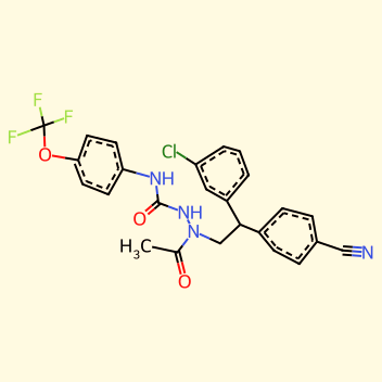 CC(=O)N(CC(c1ccc(C#N)cc1)c1cccc(Cl)c1)NC(=O)Nc1ccc(OC(F)(F)F)cc1